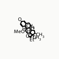 CCC(=O)[C@@]1(C)[C@H](C)C[C@H]2[C@@H]3CCC4=CC(=O)C=C[C@]4(C)[C@H]3[C@@H](OC)C[C@@]21C